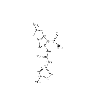 CC1Cc2sc(NC(=O)Nc3ccc(Cl)cc3)c(C(N)=O)c2C1